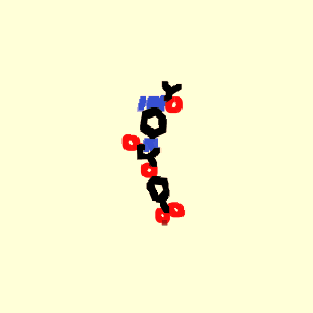 COC(=O)c1ccc(OCC2CC(=O)N(c3ccc(NC(=O)C(C)C)cc3)C2)cc1